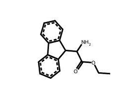 CCOC(=O)C(N)C1c2ccccc2-c2ccccc21